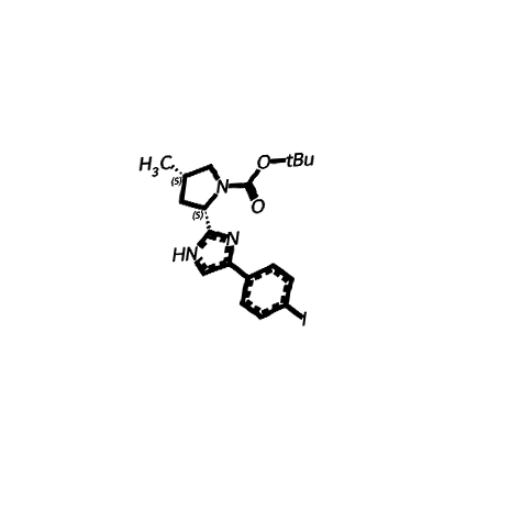 C[C@H]1C[C@@H](c2nc(-c3ccc(I)cc3)c[nH]2)N(C(=O)OC(C)(C)C)C1